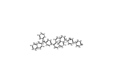 c1ccc(N(c2ccc(-c3ccc4ccc5c(-c6ccc(-c7ccncc7)cn6)ccc6ccc3c4c65)cc2)c2ccc3ccccc3c2)cc1